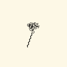 CCCCCCCCCCOC(=O)CN(C(=O)C(F)(F)F)C(C)(C)P(=O)(O)S